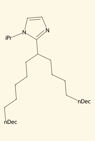 CCCCCCCCCCCCCCCC(CCCCCCCCCCCCCC)c1nccn1C(C)C